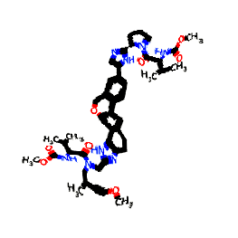 COC#CC(C)CN(Cc1nc2c([nH]1)-c1cc3c(cc1CC2)-c1ccc(-c2cnc([C@@H]4CCCN4C(=O)[C@@H](NC(=O)OC)C(C)C)[nH]2)cc1CO3)C(=O)[C@@H](NC(=O)OC)C(C)C